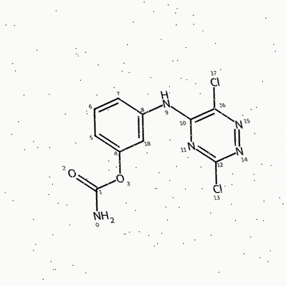 NC(=O)Oc1cccc(Nc2nc(Cl)nnc2Cl)c1